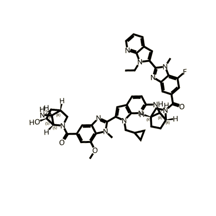 CCn1c(-c2nc3cc(C(=O)N4C[C@H]5CC[C@@H]4[C@@H]5Nc4ccc5cc(-c6nc7cc(C(=O)N8C[C@H]9C[C@H](O)[C@@H]8[C@@H]9N)cc(OC)c7n6C)n(CC6CC6)c5n4)cc(F)c3n2C)cc2cccnc21